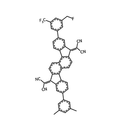 Cc1cc(C)cc(-c2ccc3c(c2)C(=C(C#N)C#N)c2ccc4c5c(ccc4c2-3)C(=C(C#N)C#N)c2cc(-c3cc(CF)cc(C(F)(F)F)c3)ccc2-5)c1